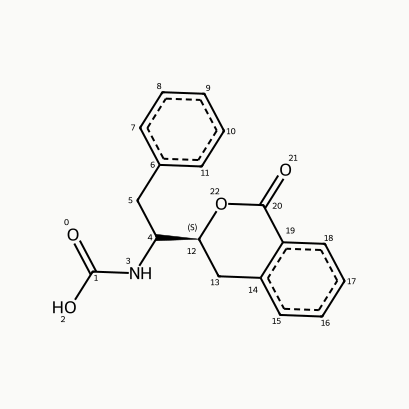 O=C(O)NC(Cc1ccccc1)[C@@H]1Cc2ccccc2C(=O)O1